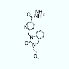 COCCN1Cc2ccccc2N(Cc2ccc(C(=O)NN)cn2)C1=O